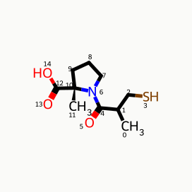 CC(CS)C(=O)N1CCC[C@@]1(C)C(=O)O